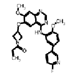 C=CC(=O)N1CC(Oc2cc3c(Nc4cc(-c5ccc(F)nc5)ccc4OC)ncnc3cc2OC)C1